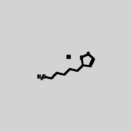 CCCCCCC1C=CSS1.[Ni]